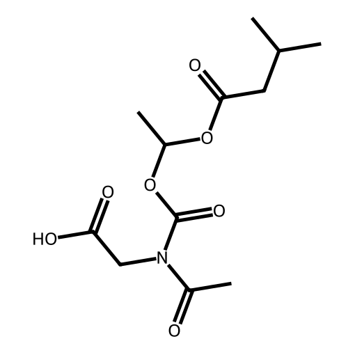 CC(=O)N(CC(=O)O)C(=O)OC(C)OC(=O)CC(C)C